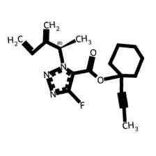 C=CC(=C)[C@@H](C)n1nnc(F)c1C(=O)OC1(C#CC)CCCCC1